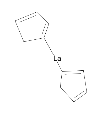 C1=CC[C]([La][C]2=CC=CC2)=C1